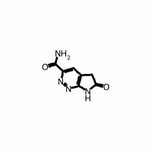 NC(=O)c1cc2c(nn1)NC(=O)C2